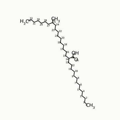 CCCCCCCCCCCCCCC(CCCCCCCCCCC(C)CCCCCCC)C(=O)O